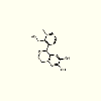 Cc1nccc(C2NCCc3cc(O)c(O)cc32)c1CO